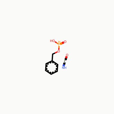 N=C=O.O=[PH](O)OCc1ccccc1